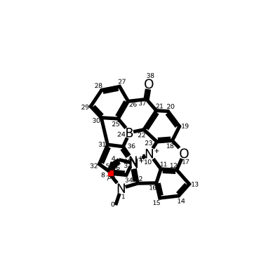 Cn1c2[n+](c3ccccc31)[N+]13c4c(cccc4-2)Oc2ccc4c(c21)B1c2c(cccc2-c2ccc[n+]3c21)C4=O